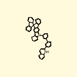 C1=CC2=CC=C(c3cccc(-c4cccc(-n5c6c(c7cc8c(cc75)-c5ccccc5C85c7ccccc7C7C=CC=CC75)CCC=C6)c4)c3)NC2C=C1